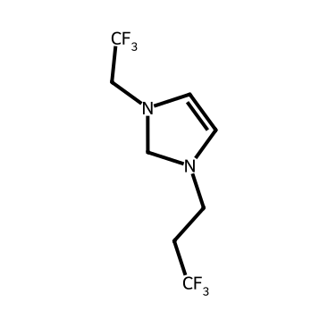 FC(F)(F)CCN1C=CN(CC(F)(F)F)C1